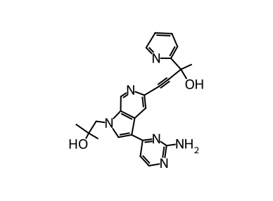 CC(C)(O)Cn1cc(-c2ccnc(N)n2)c2cc(C#CC(C)(O)c3ccccn3)ncc21